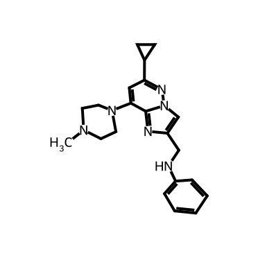 CN1CCN(c2cc(C3CC3)nn3cc(CNc4ccccc4)nc23)CC1